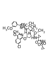 C=C[C@@H]1C[C@]1(NC(=O)[C@@H]1C[C@@H](Oc2ncc(OC)c3ccc(Cl)cc23)CN1C(=O)[C@@H](Nc1nc(-c2cccc(OC)c2)cs1)C(C)(C)C)C(=O)NS(=O)(=O)C1CC1